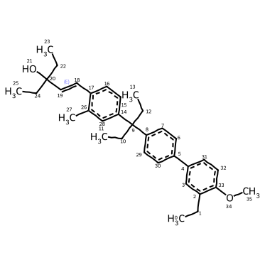 CCc1cc(-c2ccc(C(CC)(CC)c3ccc(/C=C/C(O)(CC)CC)c(C)c3)cc2)ccc1OC